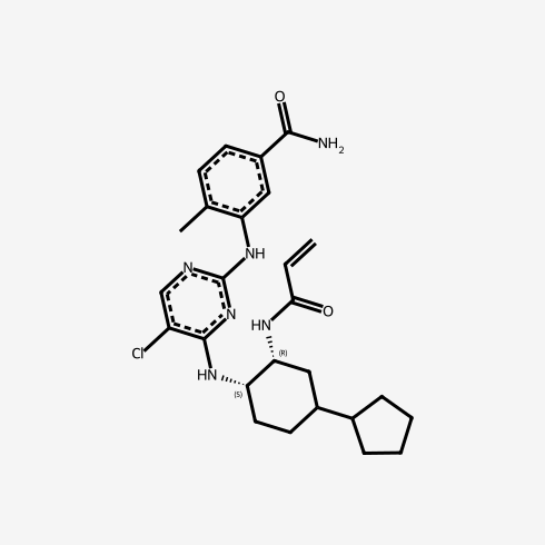 C=CC(=O)N[C@@H]1CC(C2CCCC2)CC[C@@H]1Nc1nc(Nc2cc(C(N)=O)ccc2C)ncc1Cl